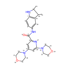 CC1Nc2ccc(NC(=O)c3cc(N4CCOCC4)cc(N4CCOCC4)n3)cc2C1C